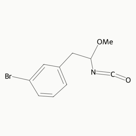 COC(Cc1cccc(Br)c1)N=C=O